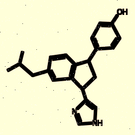 CC(C)Cc1ccc2c(c1)C(c1c[nH]cn1)CC2c1ccc(O)cc1